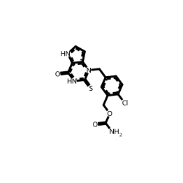 NC(=O)OCc1cc(Cn2c(=S)[nH]c(=O)c3[nH]ccc32)ccc1Cl